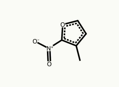 Cc1ccoc1[N+](=O)[O-]